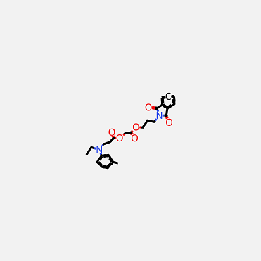 CCN(CCC(=O)OCC(=O)OCCCN1C(=O)c2ccccc2C1=O)c1cccc(C)c1